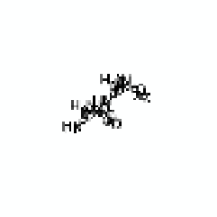 CCNCc1ccc(-c2nnc(-c3nc(-c4ccc(S(=O)(=O)C5CCOCC5)cc4)c(C4C[C@H](NCc5ccc(-c6nnc(-c7nc(-c8ccc(S(=O)(=O)C9CCOCC9)cc8)cnc7N)o6)cc5)CO4)nc3N)o2)cc1